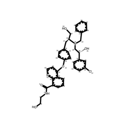 O=C(NCCO)c1cccc2c(Oc3ccc(C[C@@H](CO)N(Cc4ccccc4)C[C@H](O)c4cccc(Cl)c4)cc3)ccnc12